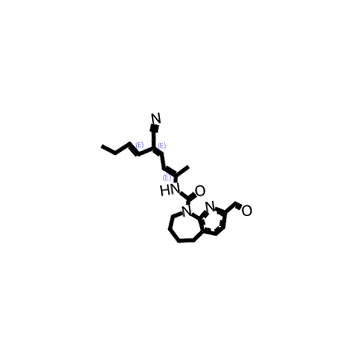 CC/C=C/C(C#N)=C\C=C(/C)NC(=O)N1CCCCc2ccc(C=O)nc21